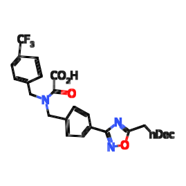 CCCCCCCCCCCc1nc(-c2ccc(CN(Cc3ccc(C(F)(F)F)cc3)C(=O)C(=O)O)cc2)no1